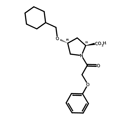 O=C(O)[C@@H]1C[C@@H](OCC2CCCCC2)CN1C(=O)COc1ccccc1